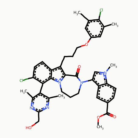 COC(=O)c1ccc2c(c1)c(N1CCCn3c(c(CCCOc4cc(C)c(Cl)c(C)c4)c4ccc(Cl)c(-c5c(C)nc(CO)nc5C)c43)C1=O)cn2C